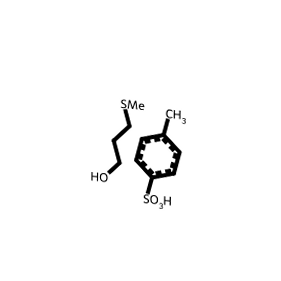 CSCCCO.Cc1ccc(S(=O)(=O)O)cc1